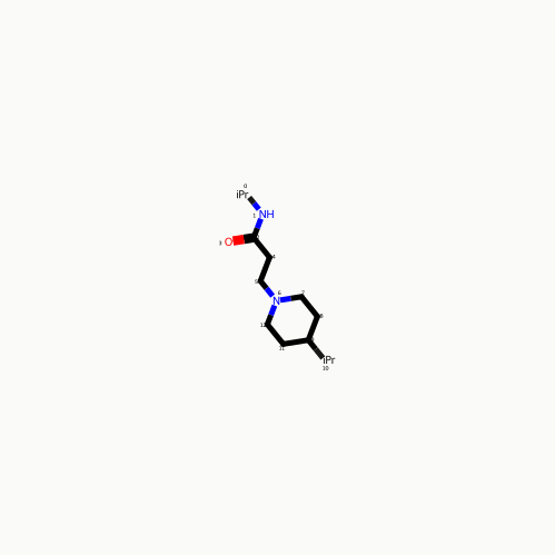 CC(C)NC(=O)CCN1CCC(C(C)C)CC1